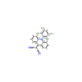 N#CC(C#N)=C1c2ccccc2N(c2c(F)c(F)cc(F)c2F)c2ccccc21